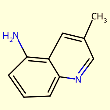 Cc1cnc2cccc(N)c2c1